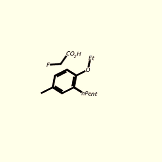 CCCCCc1cc(C)ccc1OCC.O=C(O)CF